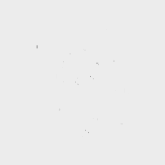 CC(C)CC(C)c1ccccc1N1C(C)C(C(N)=O)=C(F)N1C